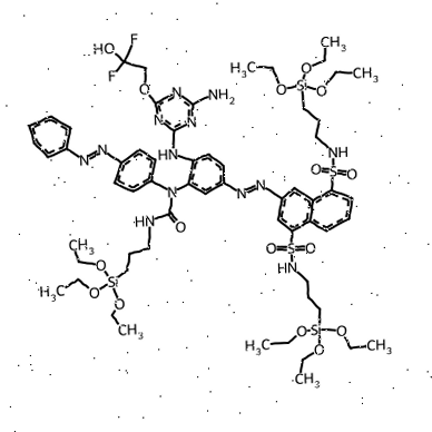 CCO[Si](CCCNC(=O)N(c1ccc(/N=N/c2ccccc2)cc1)c1cc(/N=N/c2cc(S(=O)(=O)NCCC[Si](OCC)(OCC)OCC)c3cccc(S(=O)(=O)NCCC[Si](OCC)(OCC)OCC)c3c2)ccc1Nc1nc(N)nc(OCC(O)(F)F)n1)(OCC)OCC